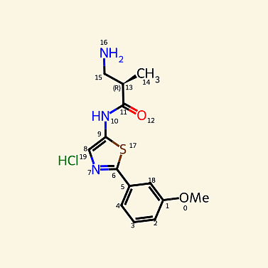 COc1cccc(-c2ncc(NC(=O)[C@H](C)CN)s2)c1.Cl